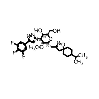 CO[C@@H]1[C@@H](n2cc(-c3cc(F)c(F)c(F)c3)nn2)[C@@H](O)[C@@H](CO)O[C@@H]1CC1=NOC2(CCC(C(C)C)CC2)C1